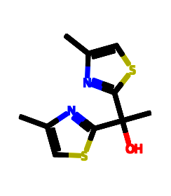 Cc1csc(C(C)(O)c2nc(C)cs2)n1